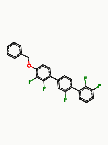 Fc1cc(-c2ccc(OCc3ccccc3)c(F)c2F)ccc1-c1cccc(F)c1F